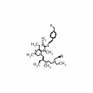 C=C/C(=C\N1CC(C)=NC(CC)=C1N(C)/C(=N/C)S/C=C/c1ccc(CF)cc1)N(C)CCN(CC)CC#N